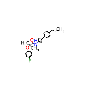 CCCc1ccc(C23CC(NC(=O)C(C)(C)Oc4ccc(F)cc4)(C2)C3)cc1